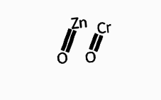 [O]=[Cr].[O]=[Zn]